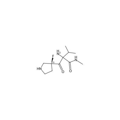 CNC(=O)C(N)(C(=O)[C@]1(F)CCNC1)C(C)C